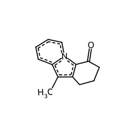 Cc1c2c(n3ccccc13)C(=O)CCC2